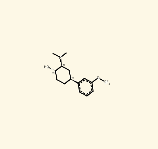 CN(C)[C@H]1C[C@@H](c2cccc(OC(F)(F)F)c2)CC[C@@H]1O